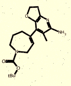 Cc1c(N)nc2c(c1C1=CCN(C(=O)OC(C)(C)C)CCC1)OCC2